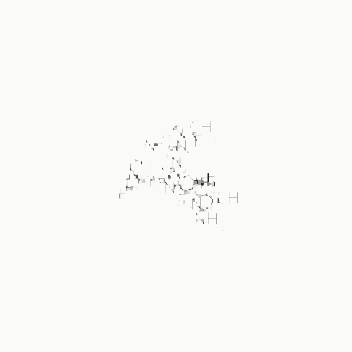 C=C(F)C(=O)N1CCN(c2nc(OC[C@@H]3C[C@@H](F)CN3C)nc3c(F)c(-c4nc(N)cc(C)c4C(F)(F)F)c(Cl)cc23)C[C@@H]1CC#N